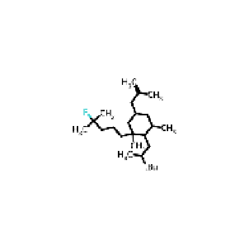 C=C(C)CC1CC(C)C(CC(C)C(C)(C)C)C(C)(CCCC(C)(C)F)C1